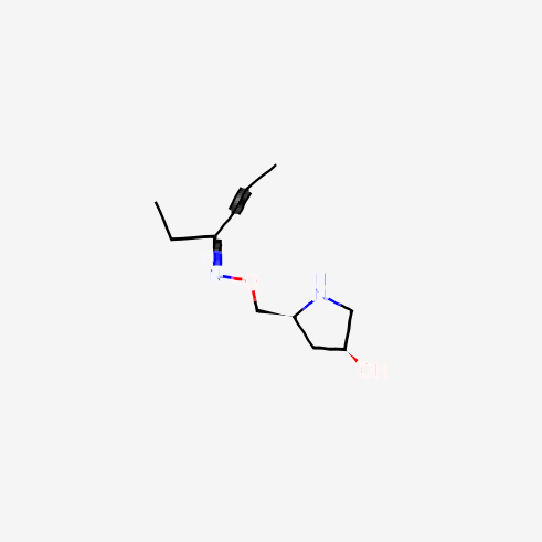 CC#C/C(CC)=N\OC[C@@H]1C[C@H](O)CN1